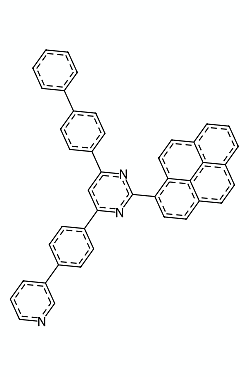 c1ccc(-c2ccc(-c3cc(-c4ccc(-c5cccnc5)cc4)nc(-c4ccc5ccc6cccc7ccc4c5c67)n3)cc2)cc1